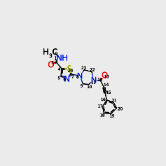 CNC(=O)c1cnc(N2CCN(C(=O)C#Cc3ccccc3)CC2)s1